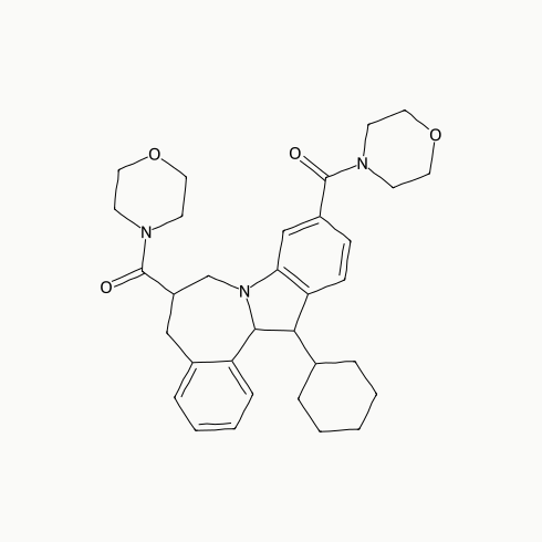 O=C(c1ccc2c(c1)N1CC(C(=O)N3CCOCC3)Cc3ccccc3C1C2C1CCCCC1)N1CCOCC1